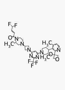 COC1(c2nccc(C)c2C2CCN(c3cc(N4CC(N5CCN(C(=O)/C=C/C(F)F)[C@H](C)C5)C4)nc(C(F)(F)F)n3)CC2)COC1